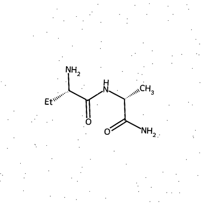 CC[C@H](N)C(=O)N[C@H](C)C(N)=O